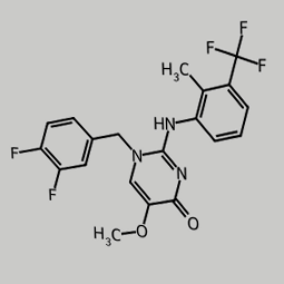 COc1cn(Cc2ccc(F)c(F)c2)c(Nc2cccc(C(F)(F)F)c2C)nc1=O